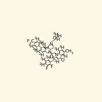 [2H]c1c([2H])c(F)c(F)c(CSc2c([2H])c(=O)c3c([2H])c(C)c([2H])c([2H])c3n2CC(=O)N(Cc2c([2H])c([2H])c(-c3c([2H])c([2H])c(C(F)(F)F)c([2H])c3[2H])c([2H])c2[2H])C2CCN(CCOC([2H])([2H])[2H])CC2)c1[2H]